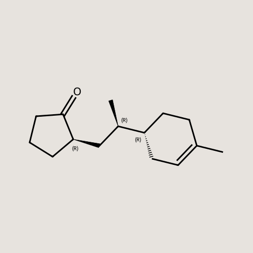 CC1=CC[C@H]([C@H](C)C[C@H]2CCCC2=O)CC1